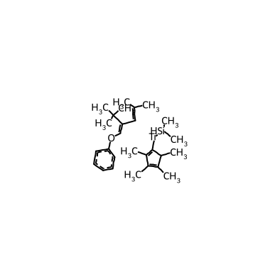 CC(C)=CC(=COc1ccccc1)C(C)(C)C.CC1=C(C)C(C)[C]([Ti][SiH](C)C)=C1C